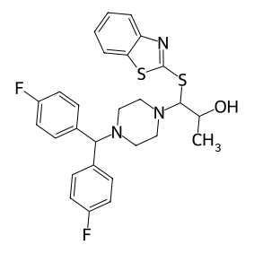 CC(O)C(Sc1nc2ccccc2s1)N1CCN(C(c2ccc(F)cc2)c2ccc(F)cc2)CC1